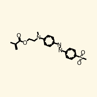 C=C(C)C(=O)OCCN(C)c1ccc(/N=N/c2ccc(S(C)(=O)=O)cc2)cc1